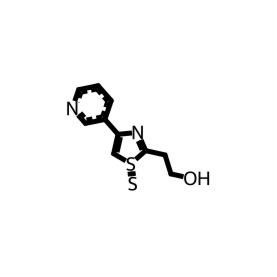 OCCC1=NC(c2cccnc2)=CS1=S